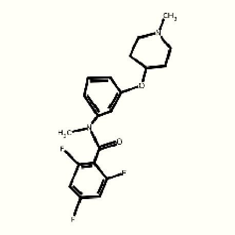 CN1CCC(Oc2cccc(N(C)C(=O)c3c(F)cc(F)cc3F)c2)CC1